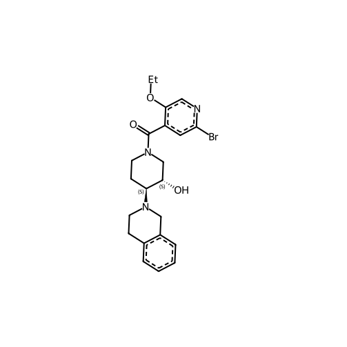 CCOc1cnc(Br)cc1C(=O)N1CC[C@H](N2CCc3ccccc3C2)[C@@H](O)C1